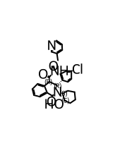 O=C(NOCc1cccnc1)[C@@H]1c2ccccc2C(=O)N([C@H]2CCCC[C@@H]2O)[C@H]1c1ccc(Cl)cc1